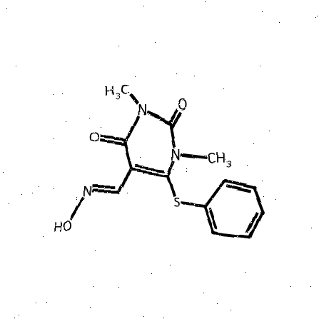 Cn1c(Sc2ccccc2)c(C=NO)c(=O)n(C)c1=O